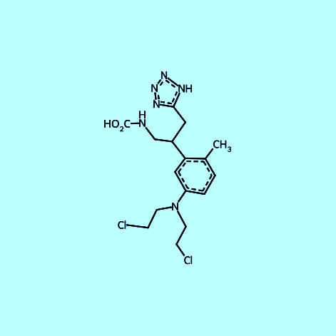 Cc1ccc(N(CCCl)CCCl)cc1C(CNC(=O)O)Cc1nnn[nH]1